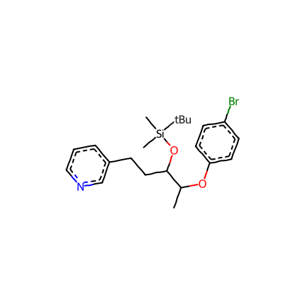 CC(Oc1ccc(Br)cc1)C(CCc1cccnc1)O[Si](C)(C)C(C)(C)C